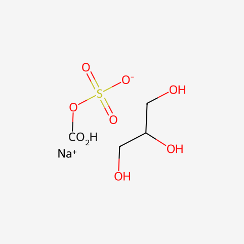 O=C(O)OS(=O)(=O)[O-].OCC(O)CO.[Na+]